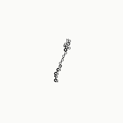 O=C1CCC(N2C(=O)c3ccc(OCCOCCOCCOC4CCN(c5ccc(-c6ccc7cc(-c8cccnc8)sc7n6)cn5)C4)cc3C2=O)C(=O)N1